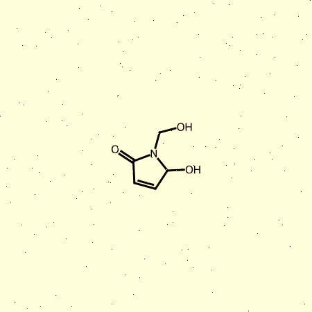 O=C1C=CC(O)N1CO